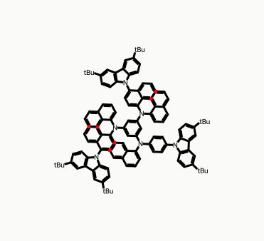 CC(C)(C)c1ccc2c(c1)c1cc(C(C)(C)C)ccc1n2-c1ccc(N(c2cc(N(c3cccc4ccccc34)c3ccc(-n4c5ccc(C(C)(C)C)cc5c5cc(C(C)(C)C)ccc54)c4ccccc34)cc(N(c3cccc4ccccc34)c3ccc(-n4c5ccc(C(C)(C)C)cc5c5cc(C(C)(C)C)ccc54)c4ccccc34)c2)c2cccc3ccccc23)cc1